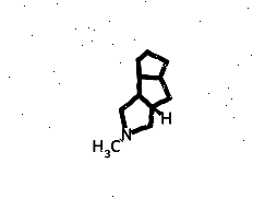 CN1CC2C3CCCC3C[C@@H]2C1